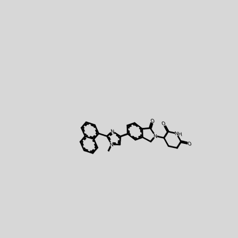 Cn1cc(-c2ccc3c(c2)CN(C2CCC(=O)NC2=O)C3=O)nc1-c1cccc2ccccc12